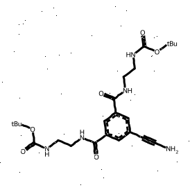 CC(C)(C)OC(=O)NCCNC(=O)c1cc(C#CN)cc(C(=O)NCCNC(=O)OC(C)(C)C)c1